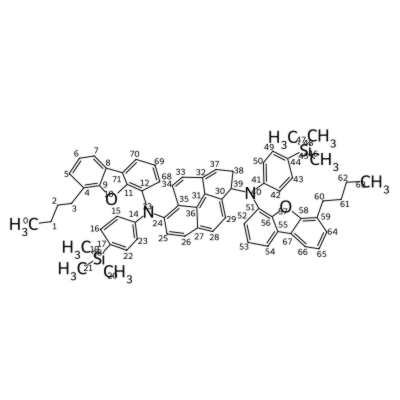 CCCCc1cccc2c1oc1c(N(c3ccc([Si](C)(C)C)cc3)c3ccc4ccc5c6c(ccc3c46)=CCC5N(c3ccc([Si](C)(C)C)cc3)c3cccc4c3oc3c(CCCC)cccc34)cccc12